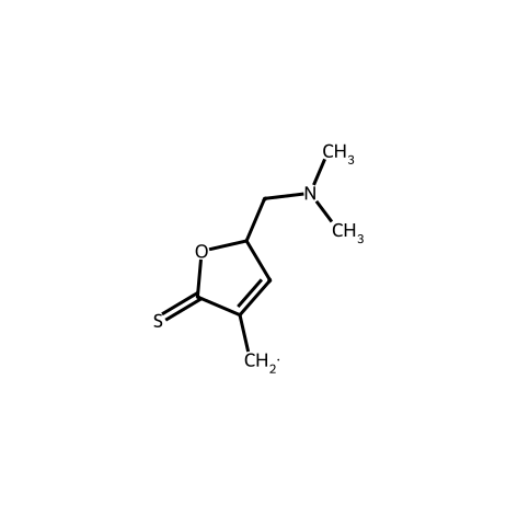 [CH2]C1=CC(CN(C)C)OC1=S